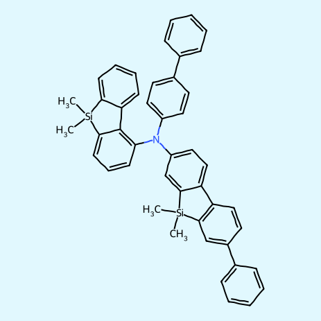 C[Si]1(C)c2cc(-c3ccccc3)ccc2-c2ccc(N(c3ccc(-c4ccccc4)cc3)c3cccc4c3-c3ccccc3[Si]4(C)C)cc21